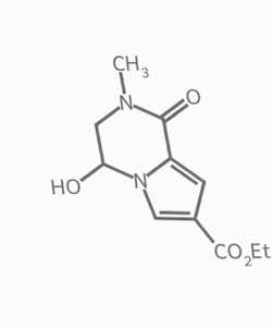 CCOC(=O)c1cc2n(c1)C(O)CN(C)C2=O